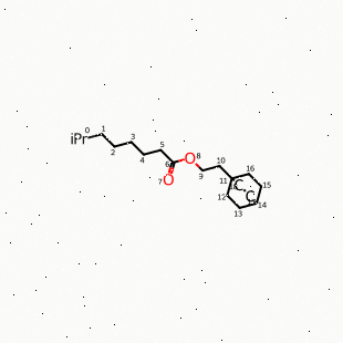 CC(C)CCCCCC(=O)OCCC12CCC(CC1)CC2